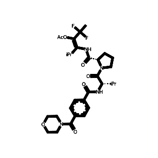 CC(=O)O/C(=C(/NC(=O)[C@@H]1CCCN1C(=O)[C@@H](NC(=O)c1ccc(C(=O)N2CCOCC2)cc1)C(C)C)C(C)C)C(C)(F)F